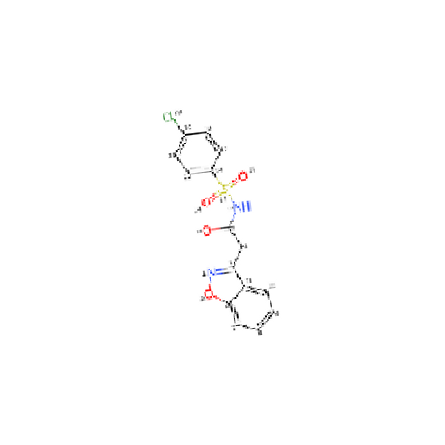 O=C(Cc1noc2ccccc12)NS(=O)(=O)c1ccc(Cl)cc1